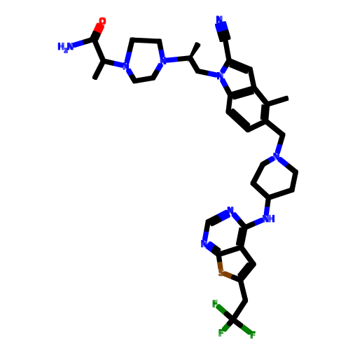 Cc1c(CN2CCC(Nc3ncnc4sc(CC(F)(F)F)cc34)CC2)ccc2c1cc(C#N)n2C[C@H](C)N1CCN(C(C)C(N)=O)CC1